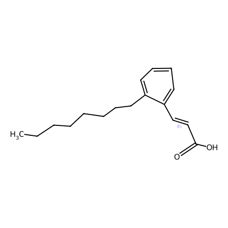 CCCCCCCCc1ccccc1/C=C/C(=O)O